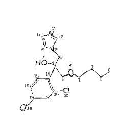 CCCCOCC(O)(Cn1ccnc1)c1ccc(Cl)cc1Cl